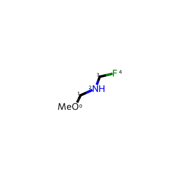 COCNCF